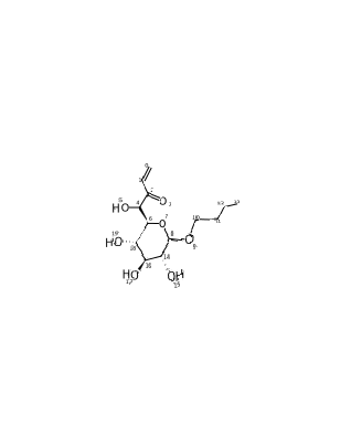 C=CC(=O)C(O)[C@H]1OC(OCCCC)[C@H](O)[C@@H](O)[C@@H]1O